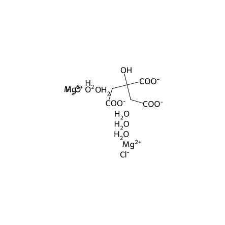 O.O.O.O.O.O.O=C([O-])CC(O)(CC(=O)[O-])C(=O)[O-].[Cl-].[Mg+2].[Mg+2]